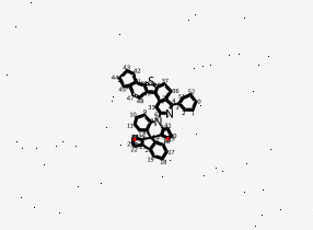 c1ccc(-c2nc(N3c4ccccc4C4(c5ccccc5-c5ccccc54)c4ccccc43)cc3c2ccc2sc4c5ccccc5ccc4c23)cc1